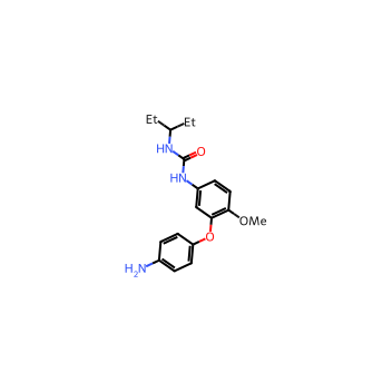 CCC(CC)NC(=O)Nc1ccc(OC)c(Oc2ccc(N)cc2)c1